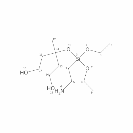 CCO[Si](CCN)(OCC)OC(C)(CCO)CCO